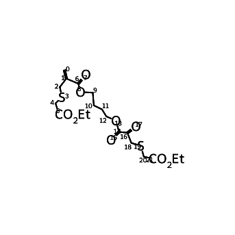 C=C(CSCC(=O)OCC)C(=O)OCCCCOC(=O)C(=O)CSCC(=O)OCC